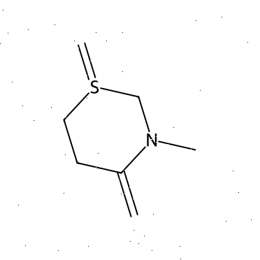 C=C1CCS(=C)CN1C